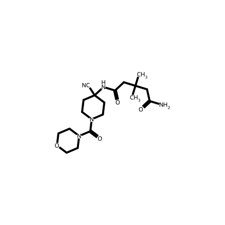 CC(C)(CC(N)=O)CC(=O)NC1(C#N)CCN(C(=O)N2CCOCC2)CC1